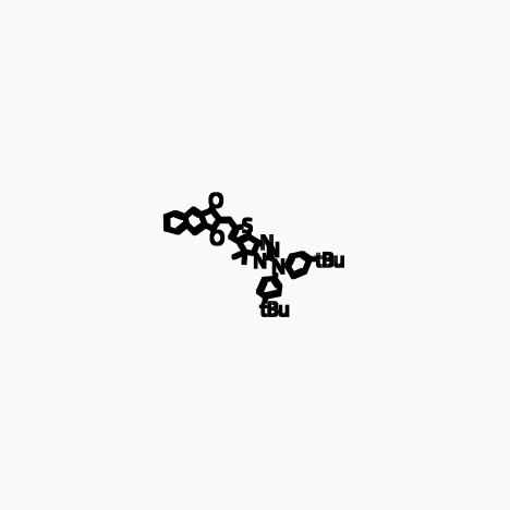 CC(C)(C)c1ccc(N(c2ccc(C(C)(C)C)cc2)c2nnc3c(n2)C(C)(C)c2cc(C=C4C(=O)c5cc6ccccc6cc5C4=O)sc2-3)cc1